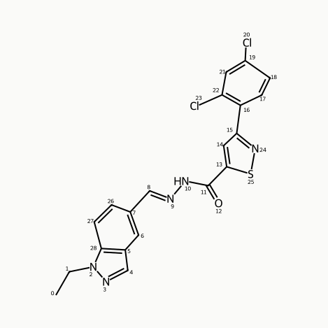 CCn1ncc2cc(C=NNC(=O)c3cc(-c4ccc(Cl)cc4Cl)ns3)ccc21